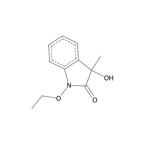 CCON1C(=O)C(C)(O)c2ccccc21